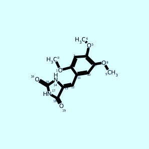 COc1cc(OC)c(OC)cc1C=C1NC(=O)NC1=O